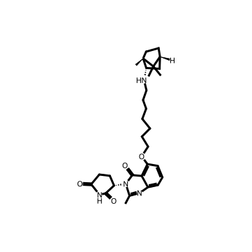 Cc1nc2cccc(OCCCCCCCN[C@H]3C[C@H]4CC[C@]3(C)C4(C)C)c2c(=O)n1[C@H]1CCC(=O)NC1=O